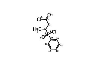 CC(CC(=O)Cl)P(=O)(Cl)c1ccccc1